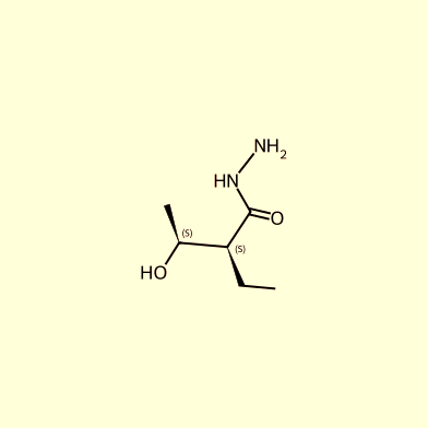 CC[C@H](C(=O)NN)[C@H](C)O